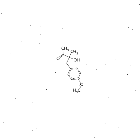 COc1ccc(CC(C)(O)C(C)=O)cc1